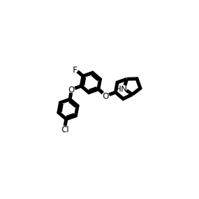 Fc1ccc(OC2CC3CCC(C2)N3)cc1Oc1ccc(Cl)cc1